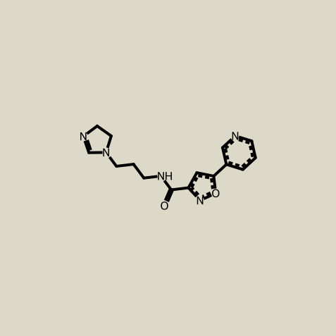 O=C(NCCCN1C=NCC1)c1cc(-c2cccnc2)on1